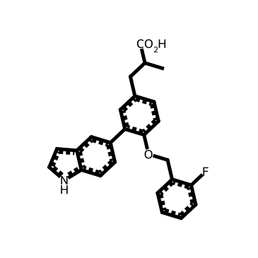 CC(Cc1ccc(OCc2ccccc2F)c(-c2ccc3[nH]ccc3c2)c1)C(=O)O